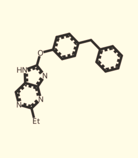 CCc1ncc2[nH]c(Oc3ccc(Cc4ccccc4)cc3)nc2n1